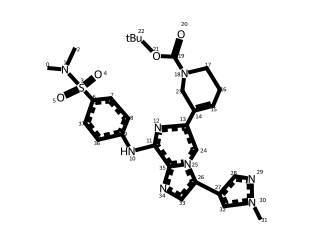 CN(C)S(=O)(=O)c1ccc(Nc2nc(C3=CCCN(C(=O)OC(C)(C)C)C3)cn3c(-c4cnn(C)c4)cnc23)cc1